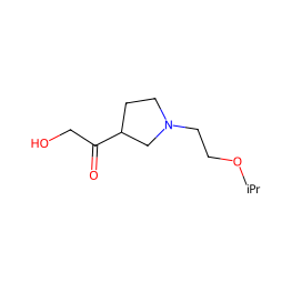 CC(C)OCCN1CCC(C(=O)CO)C1